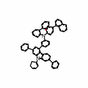 C1=CCCC(n2c3cc(-c4ccccc4)ccc3c3c(-c4cccc(N(c5ccc(-c6cccc7ccccc67)cc5)c5ccccc5-c5ccccc5)c4)cc(-c4ccccc4)cc32)=C1